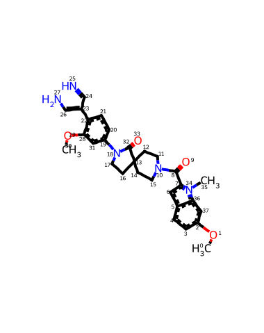 COc1ccc2cc(C(=O)N3CCC4(CC3)CCN(c3ccc(/C(C=N)=C/N)c(OC)c3)C4=O)n(C)c2c1